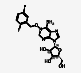 NC1=c2ncn([C@@H]3O[C@H](CO)[C@@H](O)[C@H]3O)c2=NCN1OCc1cc(F)ccc1F